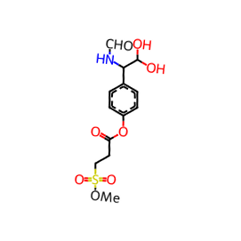 COS(=O)(=O)CCC(=O)Oc1ccc(C(NC=O)C(O)O)cc1